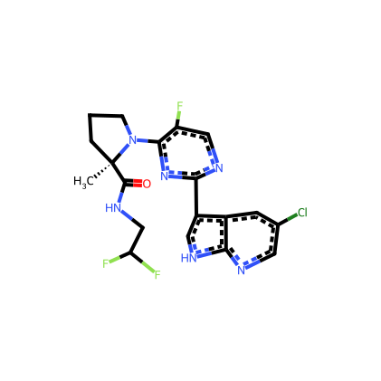 C[C@]1(C(=O)NCC(F)F)CCCN1c1nc(-c2c[nH]c3ncc(Cl)cc23)ncc1F